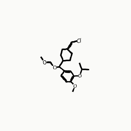 COCOC(c1ccc(OC)c(OC(C)C)c1)C1CCC(=CCl)CC1